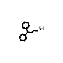 SCCCC(c1ccccc1)c1ccccc1